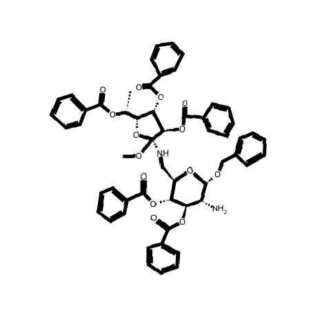 CO[C@@]1(NC[C@H]2O[C@H](OCc3ccccc3)[C@H](N)[C@@H](OC(=O)c3ccccc3)[C@@H]2OC(=O)c2ccccc2)O[C@H]([C@@H](C)OC(=O)c2ccccc2)[C@H](OC(=O)c2ccccc2)[C@H]1OC(=O)c1ccccc1